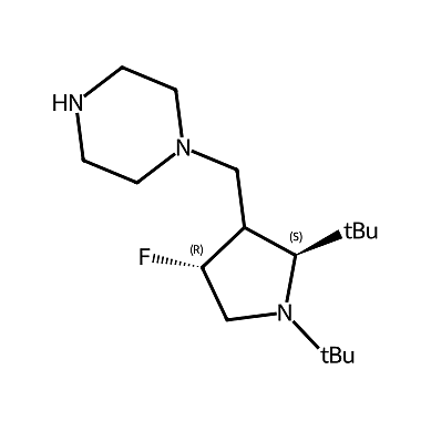 CC(C)(C)[C@@H]1C(CN2CCNCC2)[C@@H](F)CN1C(C)(C)C